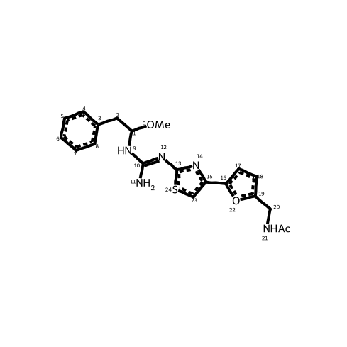 COC(Cc1ccccc1)NC(N)=Nc1nc(-c2ccc(CNC(C)=O)o2)cs1